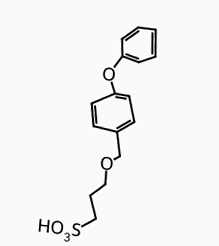 O=S(=O)(O)CCCOCc1ccc(Oc2ccccc2)cc1